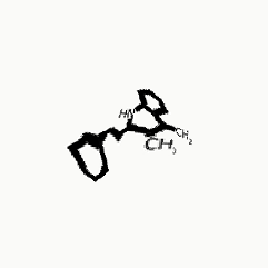 C=C1C2=CCCC=C2NC(/C=C/c2ccccc2)=C1C